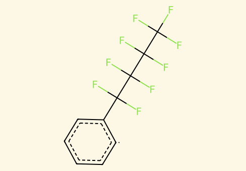 FC(F)(F)C(F)(F)C(F)(F)C(F)(F)c1[c]cccc1